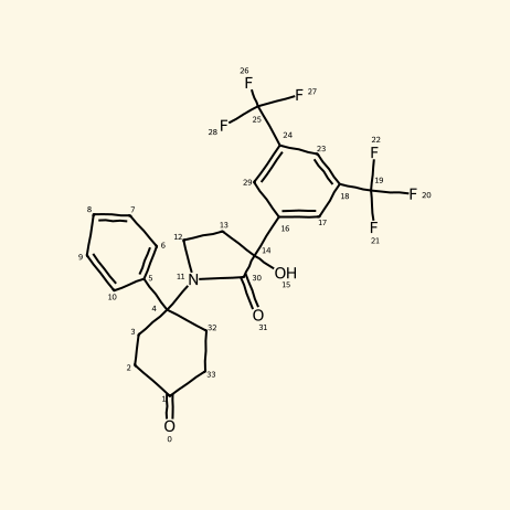 O=C1CCC(c2ccccc2)(N2CCC(O)(c3cc(C(F)(F)F)cc(C(F)(F)F)c3)C2=O)CC1